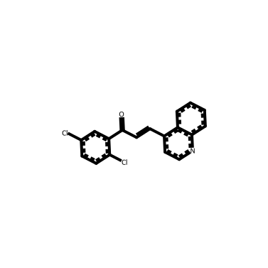 O=C(/C=C/c1ccnc2ccccc12)c1cc(Cl)ccc1Cl